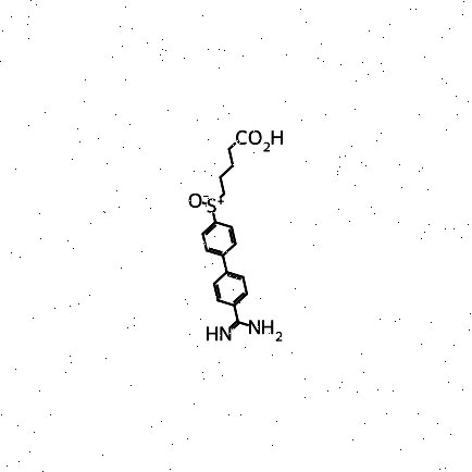 N=C(N)c1ccc(-c2ccc([S+]([O-])CCCCC(=O)O)cc2)cc1